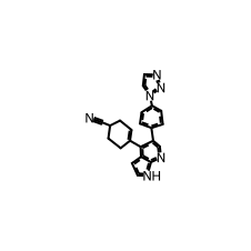 N#CC1CC=C(c2c(-c3ccc(-n4ccnn4)cc3)cnc3[nH]ccc23)CC1